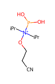 CC(C)[N+](OCCC#N)(C(C)C)P(O)O